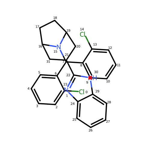 Clc1ccccc1C(c1ccccc1Cl)N1C2CCC1CC(c1nc3ccccc3[nH]1)C2